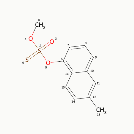 COS(=O)(=S)Oc1cccc2cc(C)ccc12